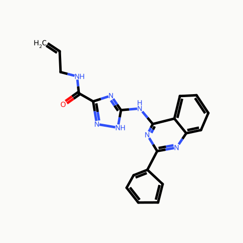 C=CCNC(=O)c1n[nH]c(Nc2nc(-c3ccccc3)nc3ccccc23)n1